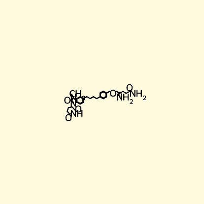 Cn1c(=O)n(C2CCC(=O)NC2=O)c2ccc(CCCCc3ccc(COC[C@@H](N)CCC(N)=O)cc3)cc21